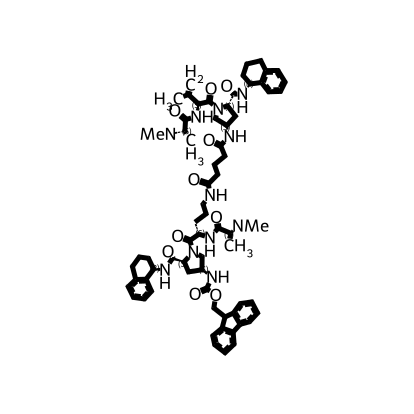 C=C(C)[C@H](NC(=O)[C@H](C)NC)C(=O)N1C[C@@H](NC(=O)CCCC(=O)NCCC[C@H](NC(=O)[C@H](C)NC)C(=O)N2C[C@@H](NC(=O)OCC3c4ccccc4-c4ccccc43)C[C@H]2C(=O)N[C@@H]2CCCc3ccccc32)C[C@H]1C(=O)N[C@@H]1CCCc2ccccc21